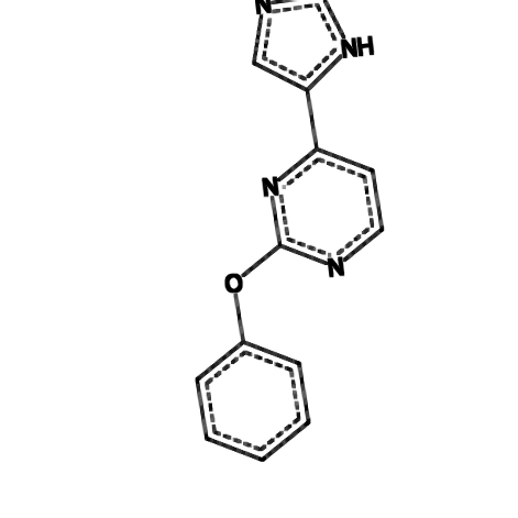 c1ccc(Oc2nccc(-c3cnc[nH]3)n2)cc1